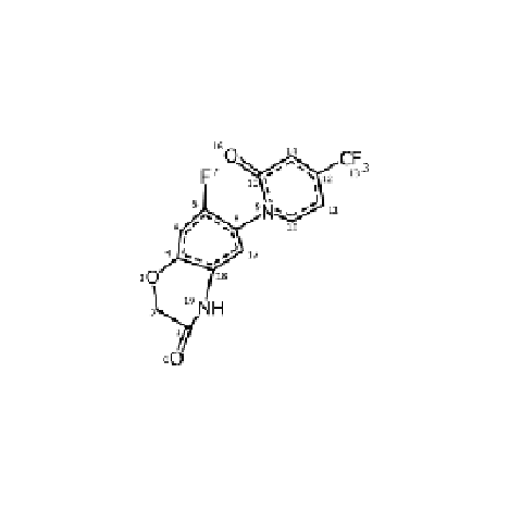 O=C1COc2cc(F)c(-n3ccc(C(F)(F)F)cc3=O)cc2N1